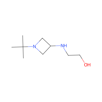 CC(C)(C)N1CC(NCCO)C1